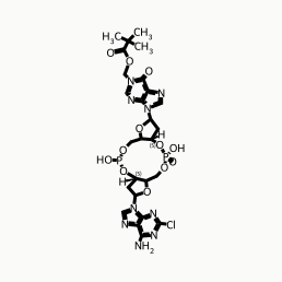 CC(C)(C)C(=O)OCn1cnc2c(ncn2C2C[C@@H]3OP(=O)(O)OCC4OC(n5cnc6c(N)nc(Cl)nc65)C[C@@H]4OP(O)OCC3O2)c1=O